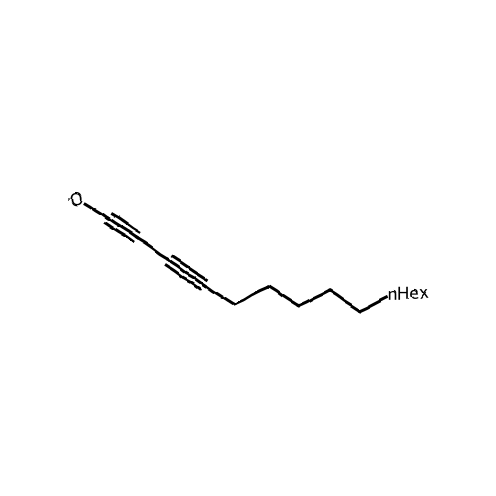 CCCCCCCCCCCC#CC#C[O]